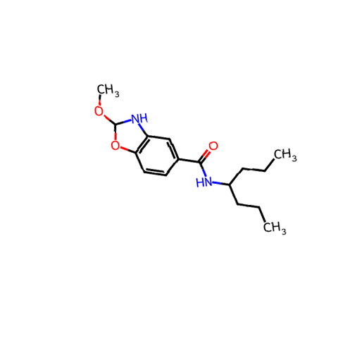 CCCC(CCC)NC(=O)c1ccc2c(c1)NC(OC)O2